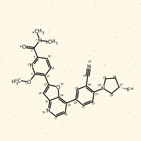 COc1nc(C(=O)N(C)C)ccc1-c1cc2nccc(-c3ccc(N4CC[C@H](F)C4)c(C#N)c3)c2o1